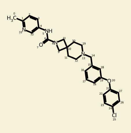 Cc1ccc(NC(=O)N2CC3(CCN(Cc4cccc(Oc5ccc(Cl)cc5)c4)CC3)C2)cn1